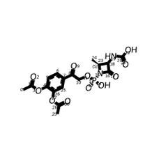 CC(=O)Oc1ccc(C(=O)COP(=O)(O)N2C(=O)C(NC(=O)O)[C@@H]2C)cc1OC(C)=O